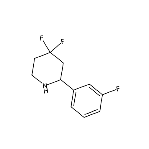 Fc1cccc(C2CC(F)(F)CCN2)c1